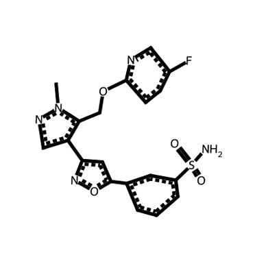 Cn1ncc(-c2cc(-c3cccc(S(N)(=O)=O)c3)on2)c1COc1ccc(F)cn1